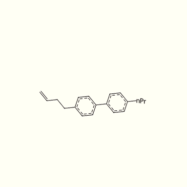 C=CCCc1ccc(-c2ccc(CCC)cc2)cc1